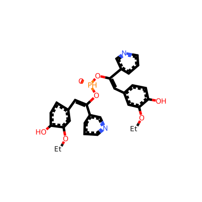 CCOc1cc(/C=C(/O[PH](=O)O/C(=C/c2ccc(O)c(OCC)c2)c2cccnc2)c2cccnc2)ccc1O